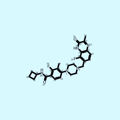 Cc1c(N2CCN(Cc3ccc4nc(C)c(=O)[nH]c4c3F)CC2)ccc(C(=O)NC2CCC2)c1F